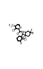 O=C(NC(c1cccc(F)c1Cl)C1(O)CCC(F)(F)CC1)c1nccc(C(F)(F)F)c1Cl